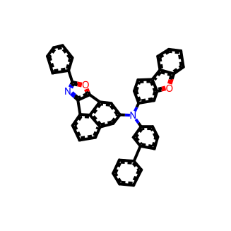 c1ccc(-c2cccc(N(c3cc4c5c(cccc5c3)-c3nc(-c5ccccc5)oc3-4)c3ccc4c(c3)oc3ccccc34)c2)cc1